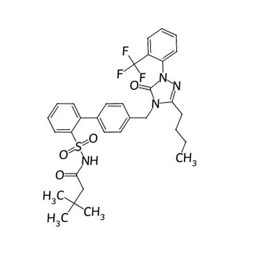 CCCCc1nn(-c2ccccc2C(F)(F)F)c(=O)n1Cc1ccc(-c2ccccc2S(=O)(=O)NC(=O)CC(C)(C)C)cc1